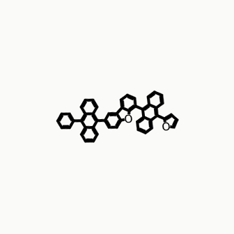 c1ccc(-c2c3ccccc3c(-c3ccc4oc5c(-c6c7ccccc7c(-c7ccco7)c7ccccc67)cccc5c4c3)c3ccccc23)cc1